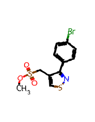 COS(=O)(=O)Cc1csnc1-c1ccc(Br)cc1